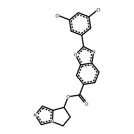 O=C(OC1CCn2cncc21)c1ccc2nc(-c3cc(Cl)cc(Cl)c3)oc2c1